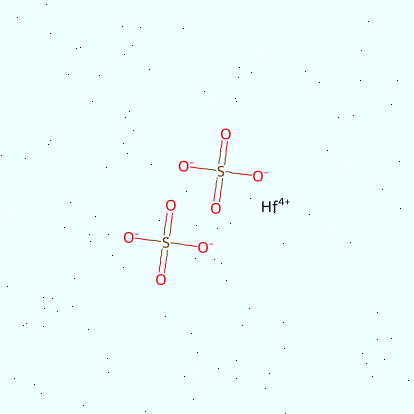 O=S(=O)([O-])[O-].O=S(=O)([O-])[O-].[Hf+4]